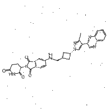 Cc1nn([C@H]2C[C@H](CNc3ccc4c(c3)C(=O)N(C3CCC(=O)NC3=O)C4=O)C2)cc1-c1cnc2ccccc2n1